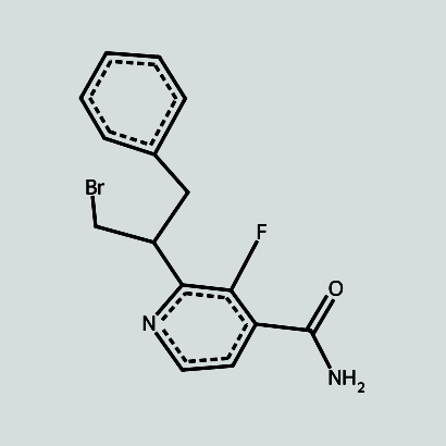 NC(=O)c1ccnc(C(CBr)Cc2ccccc2)c1F